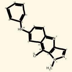 Cn1ncc2nc3ccc(Nc4ccccc4)cc3c(Cl)c21